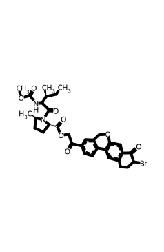 CC[C@H](C)C(NC(=O)OC)C(=O)N1[C@@H](C)CC[C@H]1C(=O)OCC(=O)c1ccc2c(c1)COc1cc3c(cc1-2)CCC(Br)C3=O